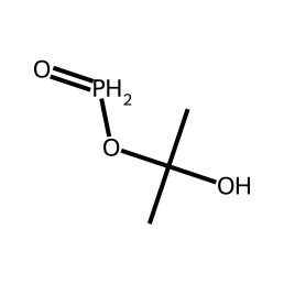 CC(C)(O)O[PH2]=O